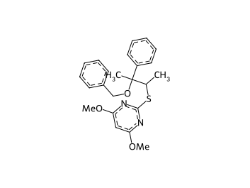 COc1cc(OC)nc(SC(C)C(C)(OCc2ccccc2)c2ccccc2)n1